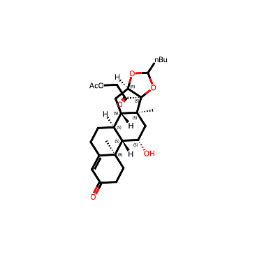 CCCCC1O[C@@H]2C[C@H]3[C@@H]4CCC5=CC(=O)CC[C@]5(C)[C@H]4[C@@H](O)C[C@]3(C)[C@]2(C(=O)COC(C)=O)O1